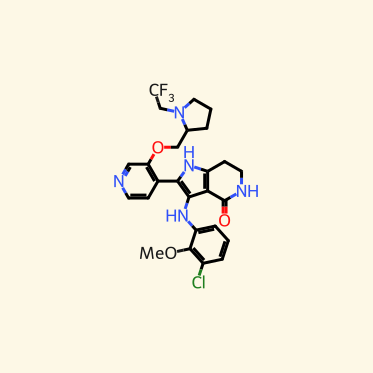 COc1c(Cl)cccc1Nc1c(-c2ccncc2OCC2CCCN2CC(F)(F)F)[nH]c2c1C(=O)NCC2